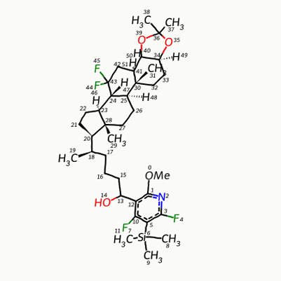 COc1nc(F)c([Si](C)(C)C)c(F)c1C(O)CCC[C@@H](C)[C@H]1CC[C@H]2[C@H]3[C@H](CC[C@]12C)[C@@]1(C)CC[C@@H]2OC(C)(C)O[C@@H]2[C@@H]1CC3(F)F